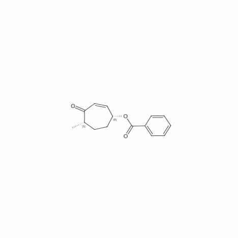 C[C@H]1CC[C@@H](OC(=O)c2ccccc2)C=CC1=O